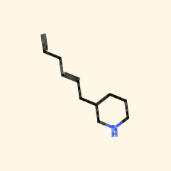 C=CCC=CCC1CCCNC1